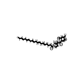 CCC=CCC=CCC=CCC=CCC=CCCCC(=O)N1CCC(NC(=O)c2cnc(C)c[n+]2[O-])C1